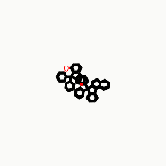 c1ccc(C2(c3ccc(-c4cccc5c4C(c4ccccc4)(c4ccccc4)c4ccccc4O5)cc3)c3ccccc3-c3c2ccc2ccccc32)cc1